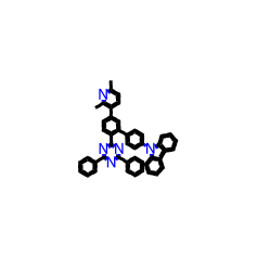 Cc1ccc(-c2ccc(-c3nc(-c4ccccc4)nc(-c4ccccc4)n3)c(-c3ccc(-n4c5ccccc5c5ccccc54)cc3)c2)c(C)n1